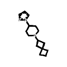 c1cnn(C2CCN(C3CC4(CCC4)C3)CC2)c1